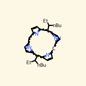 CCCCC(CC)c1c2nc(cc3ccc([nH]3)c(C(CC)CCCC)c3nc(cc4ccc1[nH]4)C=C3)C=C2